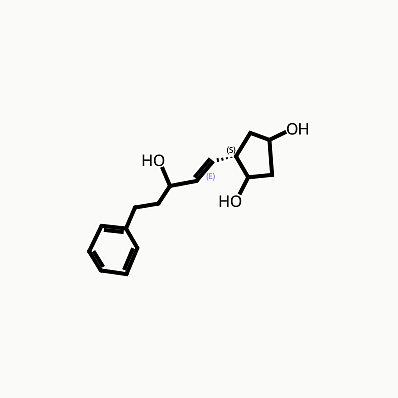 OC(/C=C/[C@@H]1CC(O)CC1O)CCc1ccccc1